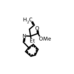 C=CCC(CC)(/N=C\c1ccccc1)C(=O)OC